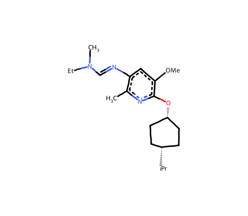 CCN(C)/C=N/c1cc(OC)c(O[C@H]2CC[C@@H](C(C)C)CC2)nc1C